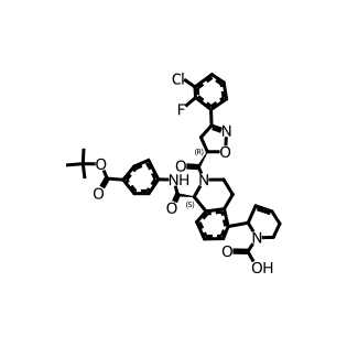 CC(C)(C)OC(=O)c1ccc(NC(=O)[C@@H]2c3cccc(C4C=CCCN4C(=O)O)c3CCN2C(=O)[C@H]2CC(c3cccc(Cl)c3F)=NO2)cc1